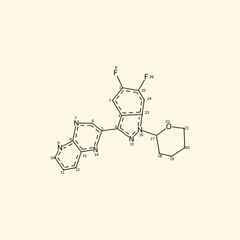 Fc1cc2c(-c3cnc4ncccc4n3)nn(C3CCCCO3)c2cc1F